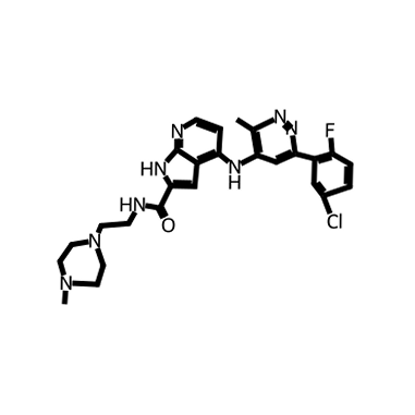 Cc1nnc(-c2cc(Cl)ccc2F)cc1Nc1ccnc2[nH]c(C(=O)NCCN3CCN(C)CC3)cc12